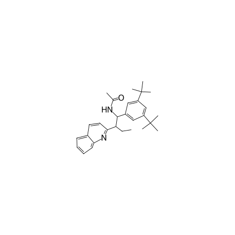 CCC(c1ccc2ccccc2n1)C(NC(C)=O)c1cc(C(C)(C)C)cc(C(C)(C)C)c1